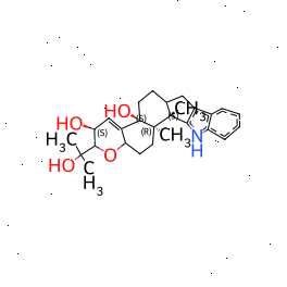 CC(C)(O)C1OC2CC[C@@]3(C)[C@@](O)(CCC4Cc5c([nH]c6ccccc56)[C@@]43C)C2=C[C@@H]1O